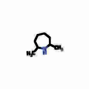 CC1CCCCC(C)N1